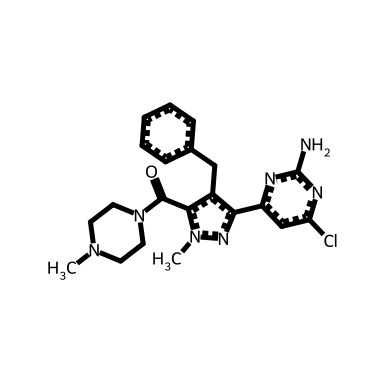 CN1CCN(C(=O)c2c(Cc3ccccc3)c(-c3cc(Cl)nc(N)n3)nn2C)CC1